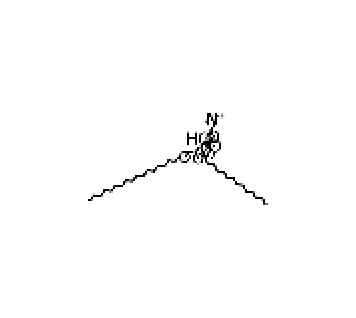 CCCCCCCCCCCCCCCCCCOC[C@H](COP(=O)(O)OCC[N+](C)(C)C)OC(=O)CCCCCCCCCCCCC